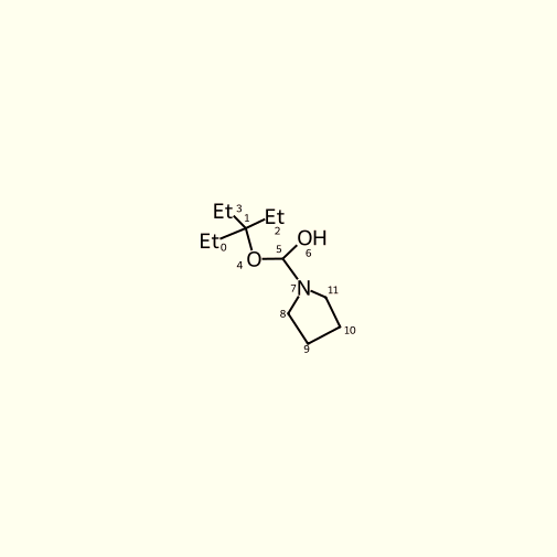 CCC(CC)(CC)OC(O)N1CCCC1